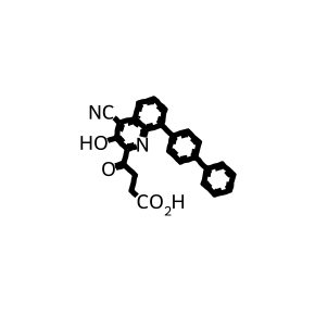 N#Cc1c(O)c(C(=O)CCC(=O)O)nc2c(-c3ccc(-c4ccccc4)cc3)cccc12